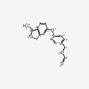 CB1OCc2cc(Oc3ncc(COC=O)cn3)ccc21